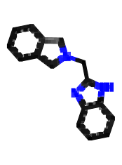 c1ccc2cn(Cc3nc4ccccc4[nH]3)cc2c1